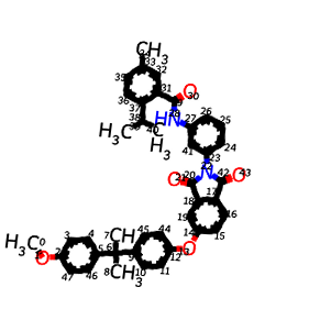 COc1ccc(C(C)(C)c2ccc(Oc3ccc4c(c3)C(=O)N(c3cccc(NC(=O)c5cc(C)ccc5C(C)C)c3)C4=O)cc2)cc1